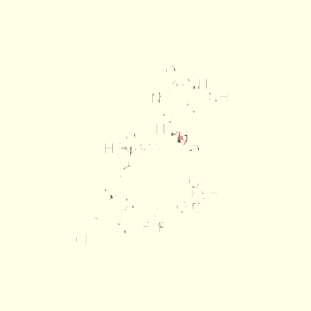 Nc1nc2c(ncn2[C@@H]2O[C@@H]3COP(=O)(S)OCC(F)(F)Cn4c(nc5cc(Cl)cnc54)COP(=O)(S)O[C@@H]2[C@@H]3F)c(=O)[nH]1